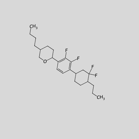 CCCCC1CCC(c2ccc(C3CCC(CCC)C(F)(F)C3)c(F)c2F)OC1